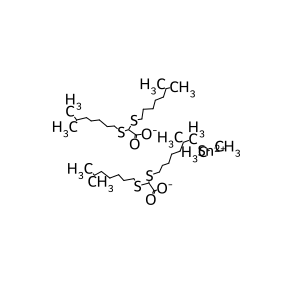 CC(C)CCCCCSC(SCCCCCC(C)C)C(=O)[O-].CC(C)CCCCCSC(SCCCCCC(C)C)C(=O)[O-].[CH3][Sn+2][CH3]